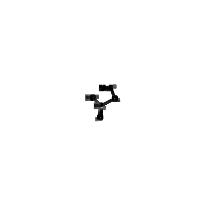 CSO[PH](=O)O